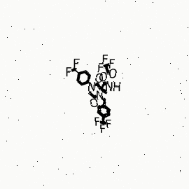 O=C1CN([C@H]2CC[C@H](C(F)F)CC2)C(=O)C2(CNC2OC(=O)C(F)(F)F)N1Cc1ccc(C(F)(F)F)cc1